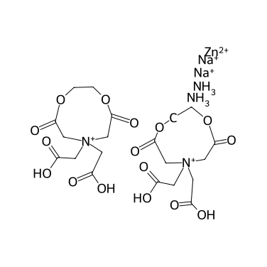 N.N.O=C(O)C[N+]1(CC(=O)O)CC(=O)OCCOC(=O)C1.O=C(O)C[N+]1(CC(=O)O)CC(=O)OCCOC(=O)C1.[Na+].[Na+].[Zn+2]